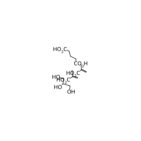 C=C(C)C(=O)O.C=C(C)C(=O)O.O=C(O)CCCC(=O)O.OCC(O)CO